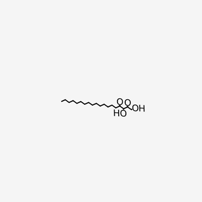 CCCCCCCCCCCCCCCC(=O)C(O)C(=O)CO